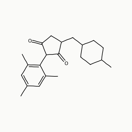 Cc1cc(C)c(C2C(=O)CC(CC3CCC(C)CC3)C2=O)c(C)c1